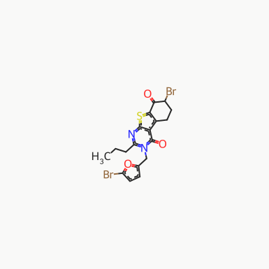 CCCc1nc2sc3c(c2c(=O)n1Cc1ccc(Br)o1)CCC(Br)C3=O